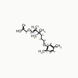 C/C(=N\OCC(=O)O)C(C)(C)CCCOc1cc(C)ccc1C